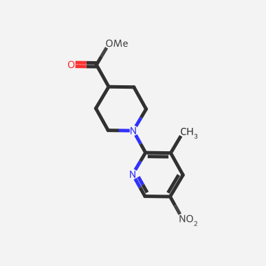 COC(=O)C1CCN(c2ncc([N+](=O)[O-])cc2C)CC1